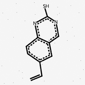 C=Cc1ccc2nc(S)ncc2c1